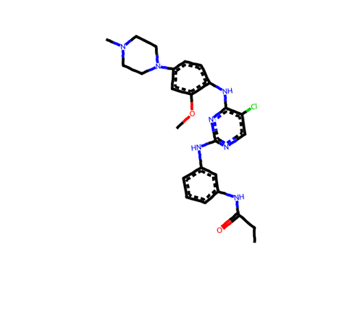 CCC(=O)Nc1cccc(Nc2ncc(Cl)c(Nc3ccc(N4CCN(C)CC4)cc3OC)n2)c1